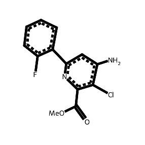 COC(=O)c1nc(-c2ccccc2F)cc(N)c1Cl